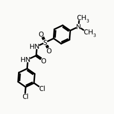 CN(C)c1ccc(S(=O)(=O)NC(=O)Nc2ccc(Cl)c(Cl)c2)cc1